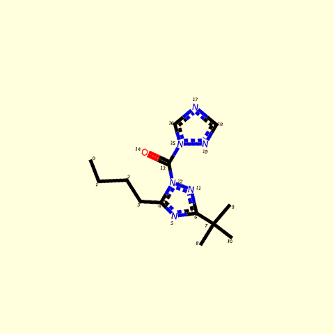 CCCCc1nc(C(C)(C)C)nn1C(=O)n1cncn1